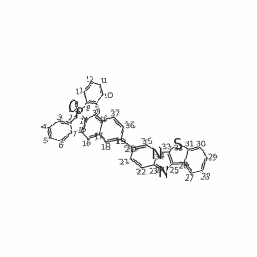 O=P(c1ccccc1)(c1ccccc1)c1ccc2cc(-c3ccc4nc5c6ccccc6sc5n4c3)ccc2c1